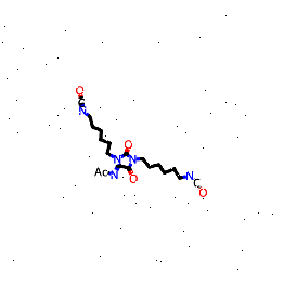 CC(=O)N=C1C(=O)N(CCCCCCN=C=O)C(=O)N1CCCCCCN=C=O